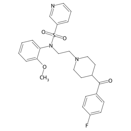 COc1ccccc1N(CCN1CCC(C(=O)c2ccc(F)cc2)CC1)S(=O)(=O)c1cccnc1